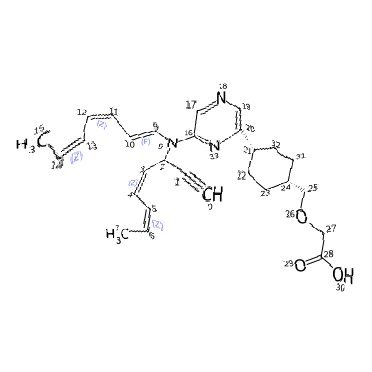 C#CC(/C=C\C=C/C)N(/C=C/C=C\C=C/C)c1cncc([C@H]2CC[C@@H](COCC(=O)O)CC2)n1